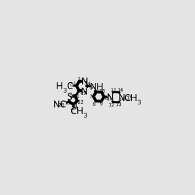 Cc1cnc(Nc2cccc(N3CCN(C)CC3)c2)nc1-c1cc(C)c(C#N)s1